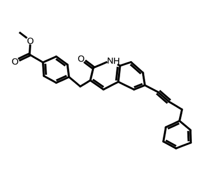 COC(=O)c1ccc(Cc2cc3cc(C#CCc4ccccc4)ccc3[nH]c2=O)cc1